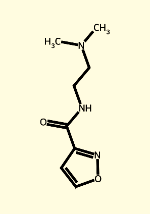 CN(C)CCNC(=O)c1c[c]on1